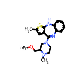 CCCOCC1CN(C2=Nc3ccccc3Nc3sc(C)cc32)CCN1C